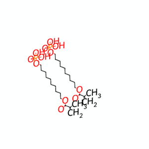 C=C(C)C(=O)OCCCCCCCCCCOP(=O)(O)O.C=C(C)C(=O)OCCCCCCCCCCOP(=O)(O)O